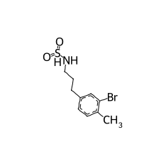 Cc1ccc(CCCN[SH](=O)=O)cc1Br